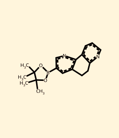 CC1(C)OB(c2cnc3c(c2)CCc2ncccc2-3)OC1(C)C